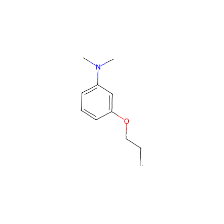 [CH2]CCOc1cccc(N(C)C)c1